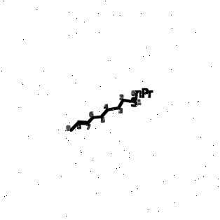 [CH2]CCSCCCCCC=CC